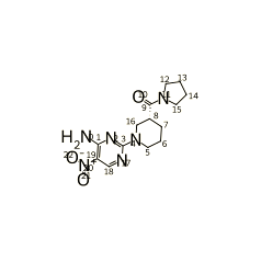 Nc1nc(N2CCC[C@@H](C(=O)N3CCCC3)C2)ncc1[N+](=O)[O-]